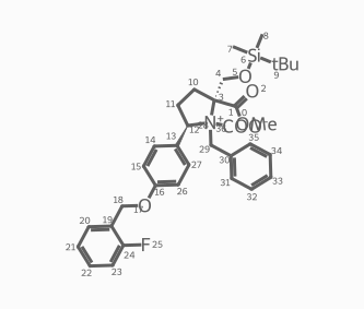 COC(=O)[C@]1(CO[Si](C)(C)C(C)(C)C)CC[C@H](c2ccc(OCc3ccccc3F)cc2)[N+]1(Cc1ccccc1)C(=O)[O-]